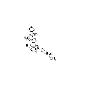 C=CC(=O)N1CC2CC(n3cc(-c4ccc(C(=O)Nc5ccccc5)c(OC)c4)c4c(N)ncnc43)CC2C1